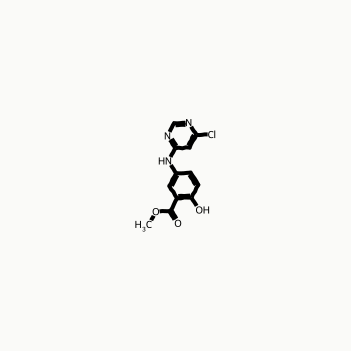 COC(=O)c1cc(Nc2cc(Cl)ncn2)ccc1O